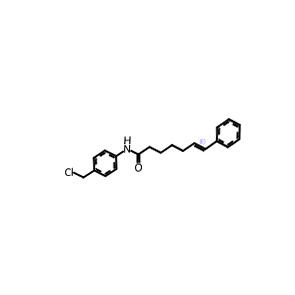 O=C(CCCC/C=C/c1ccccc1)Nc1ccc(CCl)cc1